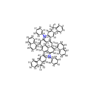 CC1(C)c2ccccc2-c2ccc(N(c3ccccc3)c3cc(-c4cccc5ccccc45)c4ccc5c(N(c6ccccc6)c6ccc7c(c6)C(C)(C)c6ccccc6-7)cc(-c6cccc7ccccc67)c6ccc3c4c65)cc21